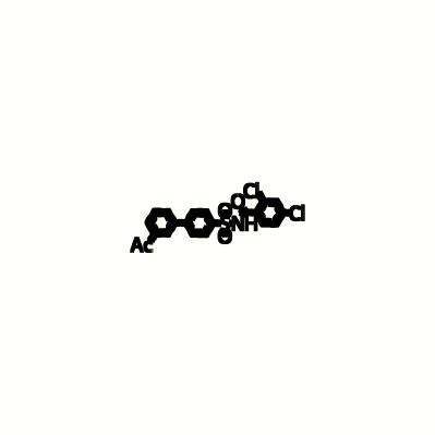 CC(=O)c1cccc(-c2ccc(S(=O)(=O)NC(=O)c3ccc(Cl)cc3Cl)cc2)c1